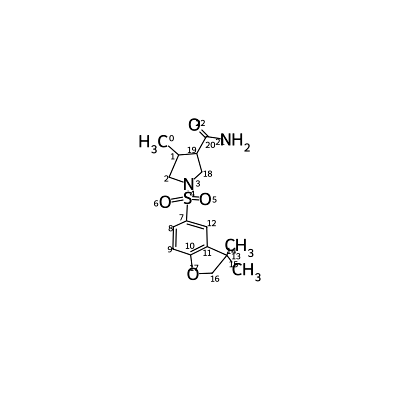 CC1CN(S(=O)(=O)c2ccc3c(c2)C(C)(C)CO3)CC1C(N)=O